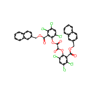 O=C(Oc1c(Cl)cc(Cl)c(Cl)c1C(=O)OCc1ccc2ccccc2c1)C(=O)Oc1c(Cl)cc(Cl)c(Cl)c1C(=O)OCc1ccc2ccccc2c1